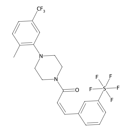 Cc1ccc(C(F)(F)F)cc1N1CCN(C(=O)/C=C\c2cccc(S(F)(F)(F)(F)F)c2)CC1